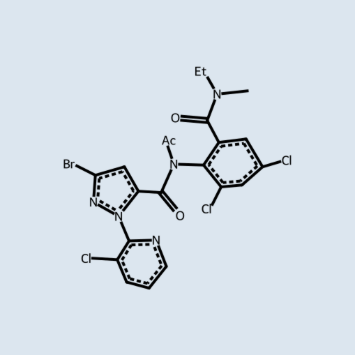 CCN(C)C(=O)c1cc(Cl)cc(Cl)c1N(C(C)=O)C(=O)c1cc(Br)nn1-c1ncccc1Cl